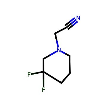 N#CCN1CCCC(F)(F)C1